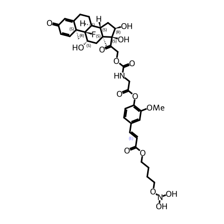 COc1cc(/C=C/C(=O)OCCCCON(O)O)ccc1OC(=O)CNC(=O)OCC(=O)[C@@]1(O)[C@H](O)C[C@H]2[C@@H]3CCC4=CC(=O)C=C[C@]4(C)[C@@]3(F)[C@@H](O)C[C@@]21C